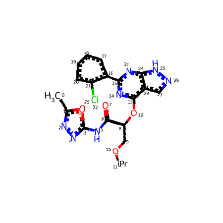 Cc1nnc(NC(=O)C(COC(C)C)Oc2nc(-c3ccccc3Cl)nc3[nH]ncc23)o1